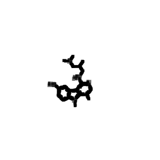 Cc1cnc(NCC(C)CN(C)C)c2c3cc(O)ccc3n(C)c12